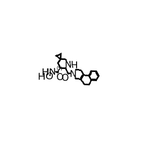 O=C(NO)[C@H]1CC2(CC2)CNC1C(=O)N1CCC2=C(CCc3ccccc32)C1